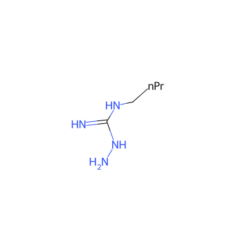 CCCCNC(=N)NN